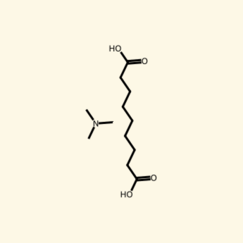 CN(C)C.O=C(O)CCCCCCCC(=O)O